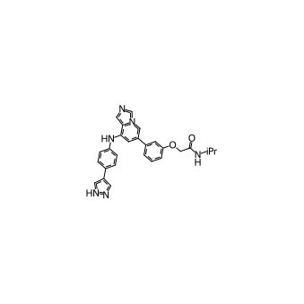 CC(C)NC(=O)COc1cccc(-c2cc(Nc3ccc(-c4cn[nH]c4)cc3)c3cncn3c2)c1